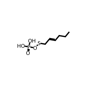 CCCC=CCSOP(=O)(O)O